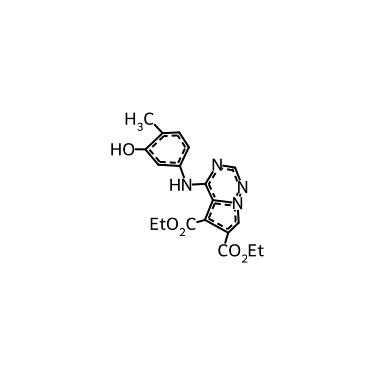 CCOC(=O)c1cn2ncnc(Nc3ccc(C)c(O)c3)c2c1C(=O)OCC